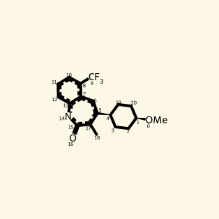 CO[C@H]1CC[C@@H](c2cc3c(C(F)(F)F)cccc3nc(=O)c2C)CC1